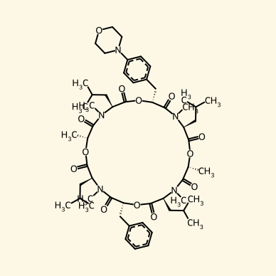 CC(C)C[C@H]1C(=O)O[C@H](Cc2ccc(N3CCOCC3)cc2)C(=O)N(C)[C@@H](CC(C)C)C(=O)O[C@H](C)C(=O)N(C)[C@@H](CC(C)C)C(=O)O[C@H](Cc2ccccc2)C(=O)N(C)[C@@H](CC(C)C)C(=O)O[C@H](C)C(=O)N1C